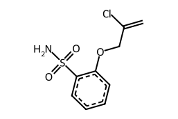 C=C(Cl)COc1ccccc1S(N)(=O)=O